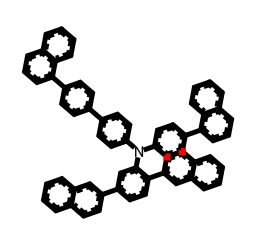 c1ccc2cc(-c3ccc(-c4ccc5ccccc5c4)c(N(c4ccc(-c5ccc(-c6cccc7ccccc67)cc5)cc4)c4ccc(-c5cccc6ccccc56)cc4)c3)ccc2c1